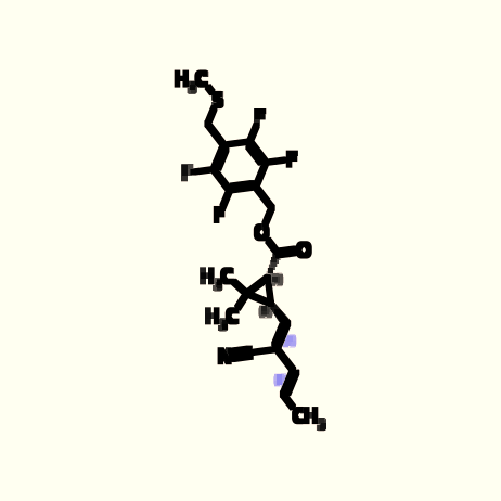 C/C=C/C(C#N)=C/[C@@H]1[C@@H](C(=O)OCc2c(F)c(F)c(CSC)c(F)c2F)C1(C)C